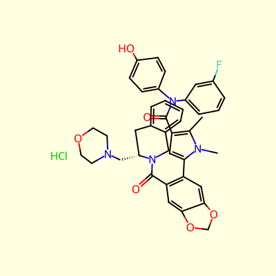 Cc1c(C(=O)N(c2ccc(O)cc2)c2cccc(F)c2)cc(-c2cc3c(cc2C(=O)N2Cc4ccccc4C[C@H]2CN2CCOCC2)OCO3)n1C.Cl